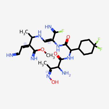 COC(=N)/C(=C\C=N)C(C)N/C=C(/NC(=O)C(NC(=O)C(N)/C(C)=N\O)C1CCC(F)(F)CC1)C(=N)F